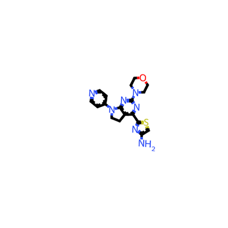 Nc1csc(-c2nc(N3CCOCC3)nc3c2CCN3c2ccncc2)n1